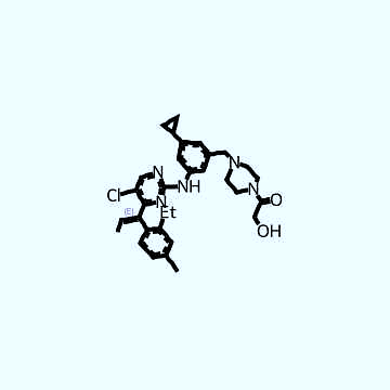 C/C=C(\c1ccc(C)cc1CC)c1nc(Nc2cc(CN3CCN(C(=O)CO)CC3)cc(C3CC3)c2)ncc1Cl